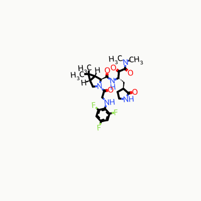 CN(C)C(=O)C(=O)[C@H](C[C@@H]1CCNC1=O)NC(=O)[C@@H]1[C@@H]2[C@H](CN1C(=O)CNc1c(F)cc(F)cc1F)C2(C)C